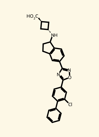 O=C(O)[C@H]1C[C@H](NC2CCc3cc(-c4noc(-c5ccc(-c6ccccc6)c(Cl)c5)n4)ccc32)C1